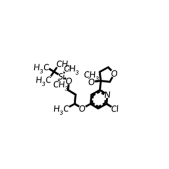 COC1(c2cc(OC(C)CCO[Si](C)(C)C(C)(C)C)cc(Cl)n2)CCOC1